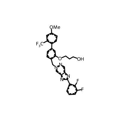 COc1ccc(-c2ccc(Cn3cc4nc(-c5cccc(F)c5F)nc-4cn3)c(OCCCO)c2)c(C(F)(F)F)c1